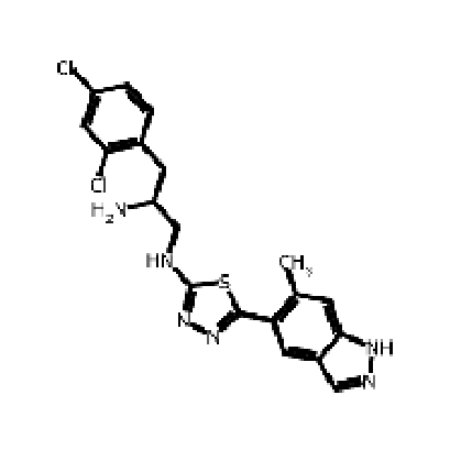 Cc1cc2[nH]ncc2cc1-c1nnc(NCC(N)Cc2ccc(Cl)cc2Cl)s1